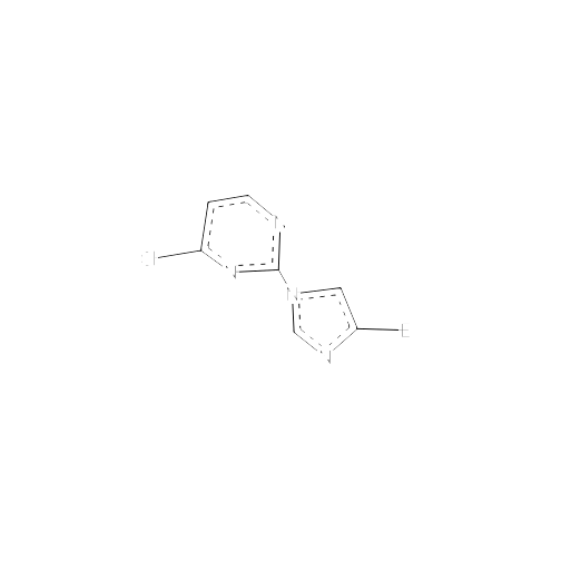 CCc1cn(-c2nccc(Cl)n2)cn1